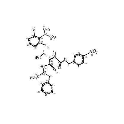 CC(C)C[C@H](NC(=O)OCc1ccc([N+](=O)[O-])cc1)C(=O)N[C@@H](Cc1ccccc1)C(=O)O.O=CC(C(=O)O)c1c(F)cccc1F